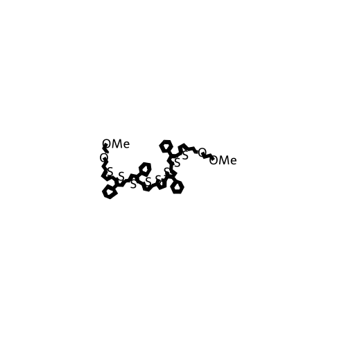 COCCOCCc1ccc(-c2sc(-c3cc(-c4ccccc4)c(-c4ccc(-c5ccc(-c6sc(-c7cc(-c8ccccc8)c(-c8ccc(CCOCCOC)s8)s7)cc6-c6ccccc6)s5)s4)s3)cc2-c2ccccc2)s1